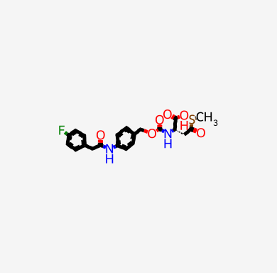 CSC(=O)C[C@H](NC(=O)OCc1ccc(NC(=O)Cc2ccc(F)cc2)cc1)C(=O)O